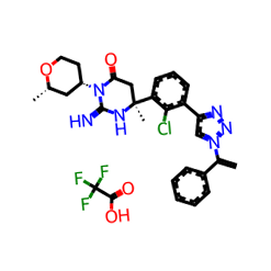 C=C(c1ccccc1)n1cc(-c2cccc([C@]3(C)CC(=O)N([C@H]4CCO[C@@H](C)C4)C(=N)N3)c2Cl)nn1.O=C(O)C(F)(F)F